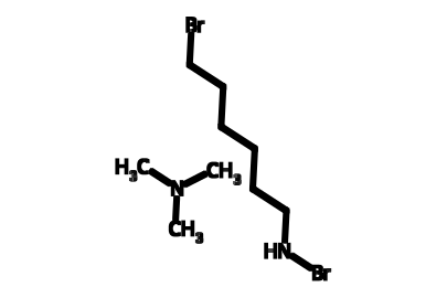 BrCCCCCCNBr.CN(C)C